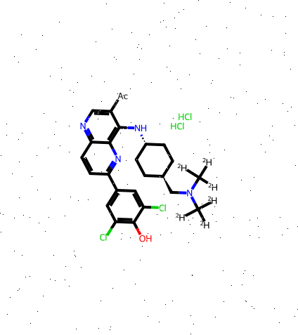 Cl.Cl.[2H]C([2H])([2H])N(C[C@H]1CC[C@H](Nc2c(C(C)=O)cnc3ccc(-c4cc(Cl)c(O)c(Cl)c4)nc23)CC1)C([2H])([2H])[2H]